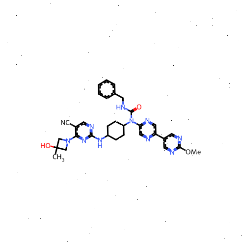 COc1ncc(-c2cnc(N(C(=O)NCc3ccccc3)C3CCC(Nc4ncc(C#N)c(N5CC(C)(O)C5)n4)CC3)cn2)cn1